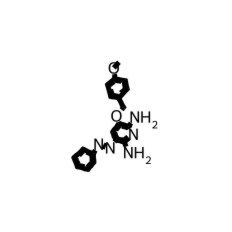 COc1ccc(COc2cc(N=Nc3ccccc3)c(N)nc2N)cc1